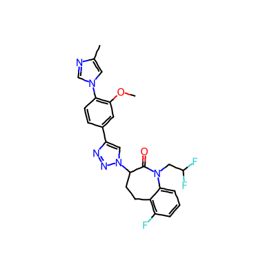 COc1cc(-c2cn(C3CCc4c(F)cccc4N(CC(F)F)C3=O)nn2)ccc1-n1cnc(C)c1